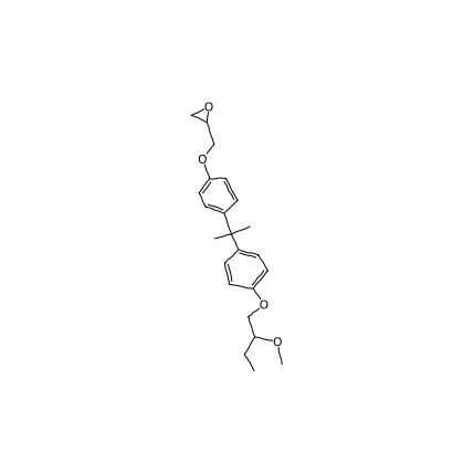 CCC(COc1ccc(C(C)(C)c2ccc(OCC3CO3)cc2)cc1)OC